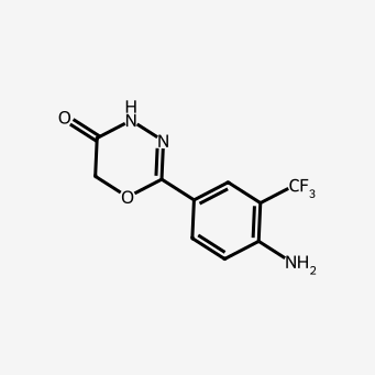 Nc1ccc(C2=NNC(=O)CO2)cc1C(F)(F)F